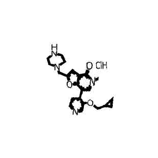 Cl.Cn1cc(-c2ccncc2OCC2CC2)c2oc(CN3CCNCC3)cc2c1=O